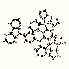 c1csc(C2(c3cccs3)c3ccccc3-c3c2ccc2c3N(c3ccc(-n4c5ccccc5c5ccccc54)cc3)c3ccccc3C23c2ccsc2-c2sccc23)c1